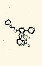 NC1N=CC=CC1(N)Cc1cc(-c2cccnc2)ccc1OCCN1CCCC1